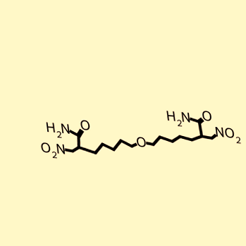 NC(=O)C(CCCCCOCCCCCC(C[N+](=O)[O-])C(N)=O)C[N+](=O)[O-]